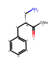 COC(=O)[C@@H](CN)Cc1ccccc1